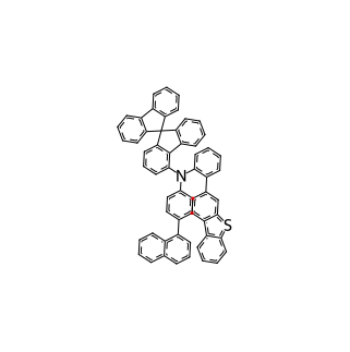 c1ccc(N(c2ccc(-c3cccc4ccccc34)cc2)c2cccc3c2-c2ccccc2C32c3ccccc3-c3ccccc32)c(-c2ccc3c(c2)sc2ccccc23)c1